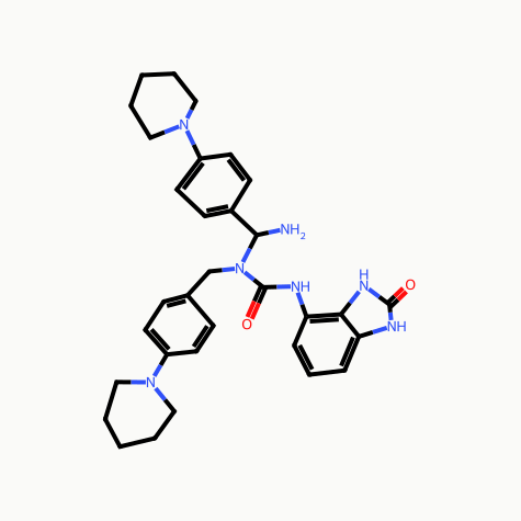 NC(c1ccc(N2CCCCC2)cc1)N(Cc1ccc(N2CCCCC2)cc1)C(=O)Nc1cccc2[nH]c(=O)[nH]c12